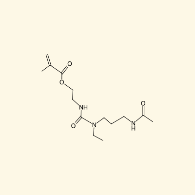 C=C(C)C(=O)OCCNC(=O)N(CC)CCCNC(C)=O